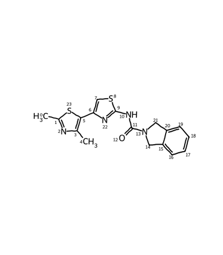 Cc1nc(C)c(-c2csc(NC(=O)N3Cc4ccccc4C3)n2)s1